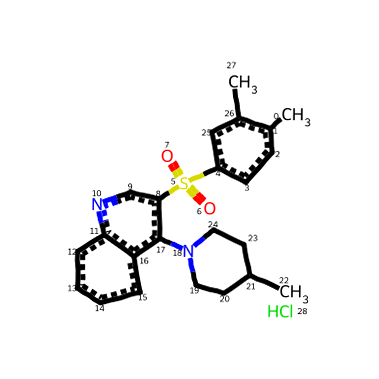 Cc1ccc(S(=O)(=O)c2cnc3ccccc3c2N2CCC(C)CC2)cc1C.Cl